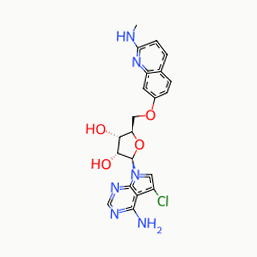 CNc1ccc2ccc(OC[C@H]3O[C@@H](n4cc(Cl)c5c(N)ncnc54)[C@H](O)[C@@H]3O)cc2n1